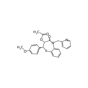 COc1ccc([C@@H]2Sc3ccccc3N(Cc3ccccn3)C(=O)C2OC(C)=O)cc1